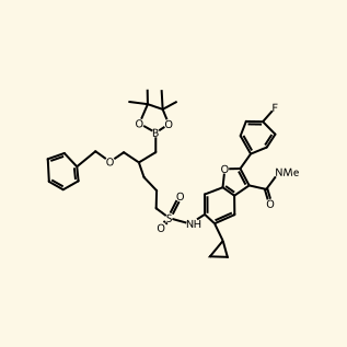 CNC(=O)c1c(-c2ccc(F)cc2)oc2cc(NS(=O)(=O)CCCC(COCc3ccccc3)CB3OC(C)(C)C(C)(C)O3)c(C3CC3)cc12